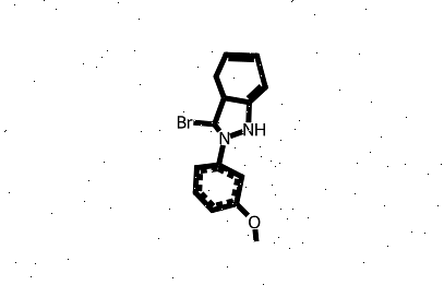 COc1cccc(N2NC3=CC=CCC3C2Br)c1